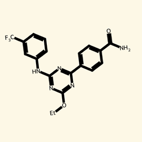 CCOc1nc(Nc2cccc(C(F)(F)F)c2)nc(-c2ccc(C(N)=O)cc2)n1